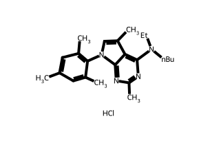 CCCCN(CC)c1nc(C)nc2c1c(C)cn2-c1c(C)cc(C)cc1C.Cl